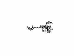 CCCCCCCCCCCCCC[C@@H](O)[C@@H](O)[C@H](CO[C@@H](OC(CO)[C@H](O)CO)[C@H](C)O)NC(=O)CCCCCCCCCCc1ccc(Oc2ccc(F)cc2)cc1F